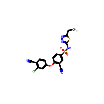 CCc1nnc(NS(=O)(=O)c2ccc(Oc3ccc(C#N)c(Cl)c3)c(C#N)c2)s1